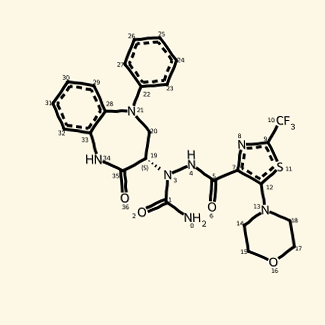 NC(=O)N(NC(=O)c1nc(C(F)(F)F)sc1N1CCOCC1)[C@H]1CN(c2ccccc2)c2ccccc2NC1=O